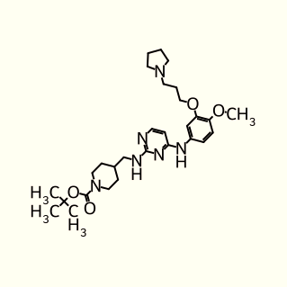 COc1ccc(Nc2ccnc(NCC3CCN(C(=O)OC(C)(C)C)CC3)n2)cc1OCCCN1CCCC1